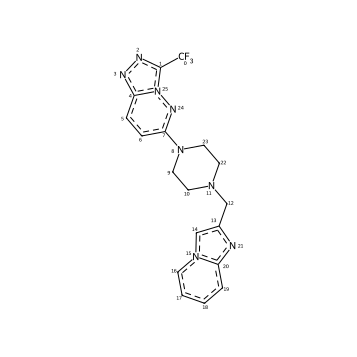 FC(F)(F)c1nnc2ccc(N3CCN(Cc4cn5ccccc5n4)CC3)nn12